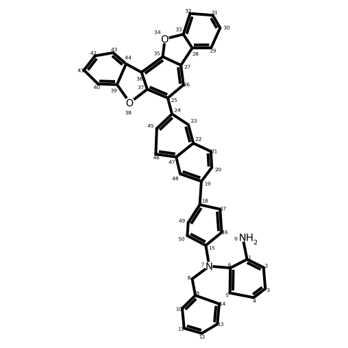 Nc1ccccc1N(Cc1ccccc1)c1ccc(-c2ccc3cc(-c4cc5c6ccccc6oc5c5c4oc4ccccc45)ccc3c2)cc1